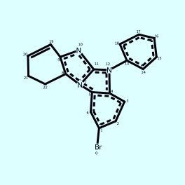 Brc1ccc2c(c1)n1c3c(nc1n2-c1ccccc1)C=CCC3